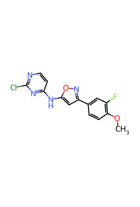 COc1ccc(-c2cc(Nc3ccnc(Cl)n3)on2)cc1F